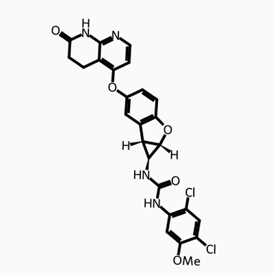 COc1cc(NC(=O)N[C@@H]2[C@H]3Oc4ccc(Oc5ccnc6c5CCC(=O)N6)cc4[C@@H]23)c(Cl)cc1Cl